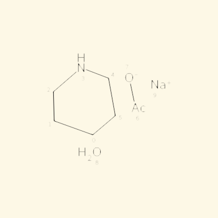 C1CCNCC1.CC(=O)[O-].O.[Na+]